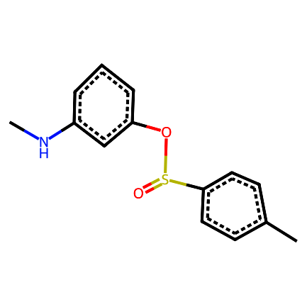 CNc1cccc(OS(=O)c2ccc(C)cc2)c1